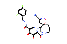 C[C@H]1CC[C@]2(CC(C#N)=NO2)[C@H]2CN1C(=O)c1c(O)c(=O)c(C(=O)NCc3ccc(F)cc3F)cn12